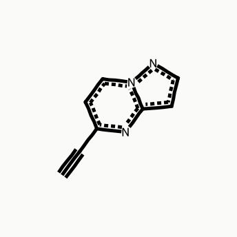 C#Cc1ccn2nccc2n1